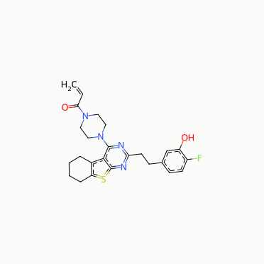 C=CC(=O)N1CCN(c2nc(CCc3ccc(F)c(O)c3)nc3sc4c(c23)CCCC4)CC1